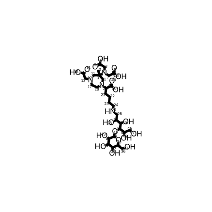 CC1(N(CC(=O)O)CC(=O)O)CN(CC(=O)O)CCN(C(CCCCNCC(O)C(O)C(OC2OC(CO)C(O)C(O)C2O)C(O)CO)C(=O)O)C1